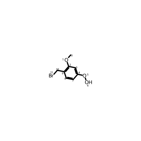 COc1cc(OO)ccc1CBr